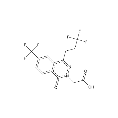 O=C(O)Cn1nc(CCC(F)(F)F)c2cc(C(F)(F)F)ccc2c1=O